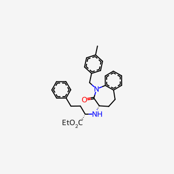 CCOC(=O)[C@H](CCc1ccccc1)N[C@H]1CCc2ccccc2N(Cc2ccc(C)cc2)C1=O